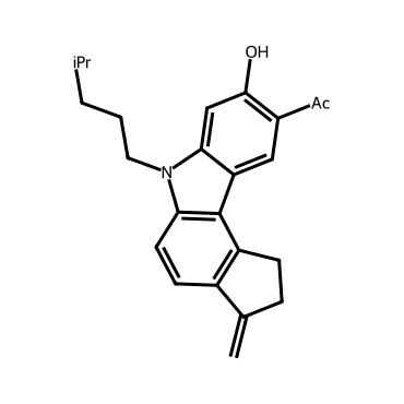 C=C1CCc2c1ccc1c2c2cc(C(C)=O)c(O)cc2n1CCCC(C)C